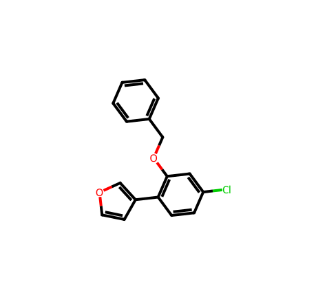 Clc1ccc(-c2ccoc2)c(OCc2ccccc2)c1